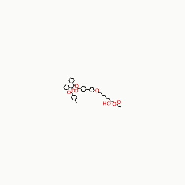 C=CC(=O)OCC(O)CCCCCCOc1ccc(-c2ccc(C(=O)O[C@H](c3ccccc3)[C@H](OC(=O)c3ccc(C)cc3)c3ccccc3)cc2)cc1